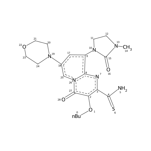 CCCCOc1c(C(N)=S)nc2c(N3CCN(C)C3=O)cc(N3CCOCC3)cn2c1=O